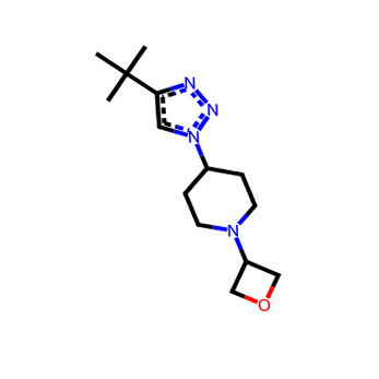 CC(C)(C)c1cn(C2CCN(C3COC3)CC2)nn1